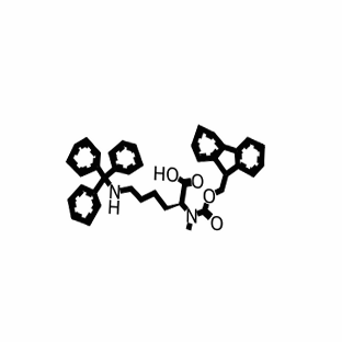 CN(C(=O)OCC1c2ccccc2-c2ccccc21)[C@@H](CCCCNC(c1ccccc1)(c1ccccc1)c1ccccc1)C(=O)O